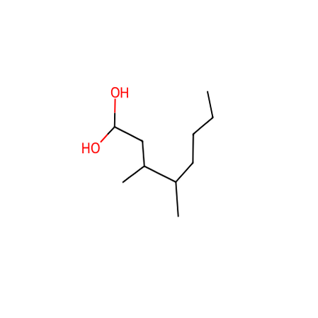 CCCCC(C)C(C)CC(O)O